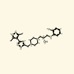 Cc1noc(C)c1-c1nc(CN2CCN(C[C@@H](O)COc3ccccc3F)CC2)no1